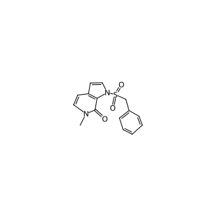 Cn1ccc2ccn(S(=O)(=O)Cc3ccccc3)c2c1=O